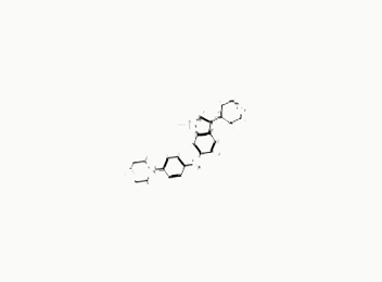 c1cc(N2CCOCC2)ccc1Nc1ccc2c(C3CCNCC3)c[nH]c2c1